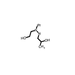 CC(O)C[N]N(CCO)C(C)C